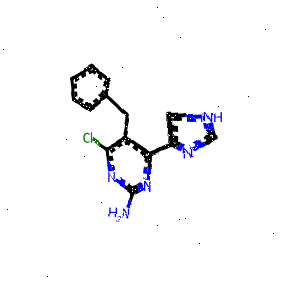 Nc1nc(Cl)c(Cc2ccccc2)c(-c2c[nH]cn2)n1